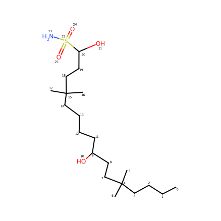 CCCCC(C)(C)CCC(O)CCCCC(C)(C)CCC(O)S(N)(=O)=O